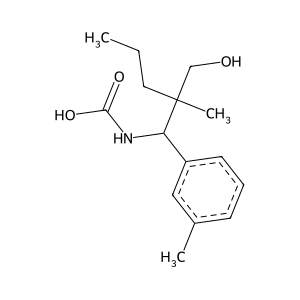 CCCC(C)(CO)C(NC(=O)O)c1cccc(C)c1